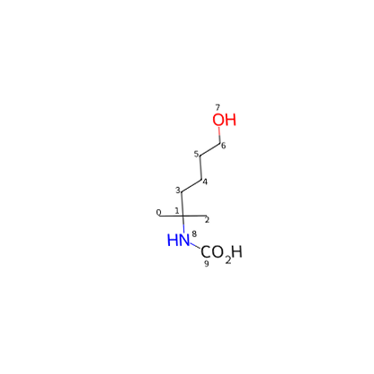 CC(C)(CCCCO)NC(=O)O